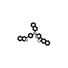 c1ccc2cc(N(c3ccc(-c4cc5ccccc5cn4)cc3)c3ccc4c(n3)oc3cc5ccccc5cc34)ccc2c1